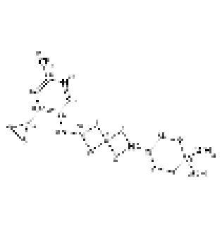 CC1(O)CCC(N2CC3(CN(Sc4cnc(C(F)(F)F)cc4C4CC4)C3)C2)CC1